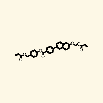 C=CC(=O)OCOc1ccc2cc(-c3ccc(C(=O)Oc4ccc(COC(=O)C=C)cc4)cc3)ccc2c1